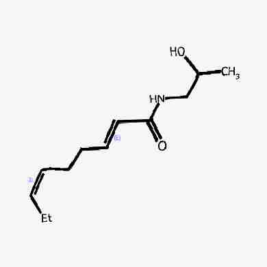 CC/C=C\CC/C=C/C(=O)NCC(C)O